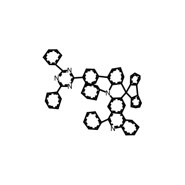 c1ccc(-c2nc(-c3ccccc3)nc(-c3ccc(-c4cccc5c4N(c4ccccc4)c4cc6c(-c7ccccc7)nc7ccccc7c6cc4C54c5ccccc5-c5ccccc54)cc3)n2)cc1